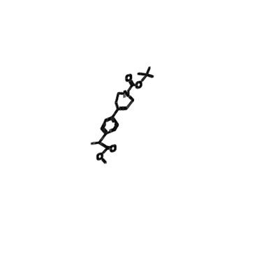 COC(=O)C(C)c1ccc(C2=CCN(C(=O)OC(C)(C)C)CC2)cc1